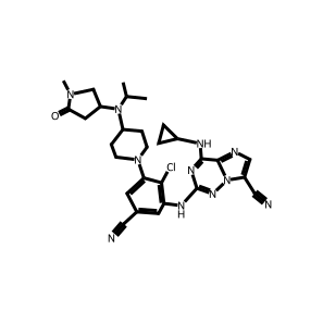 CC(C)N(C1CCN(c2cc(C#N)cc(Nc3nc(NC4CC4)c4ncc(C#N)n4n3)c2Cl)CC1)C1CC(=O)N(C)C1